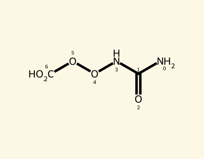 NC(=O)NOOC(=O)O